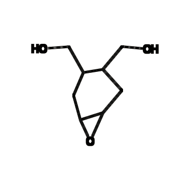 OCC1CC2OC2CC1CO